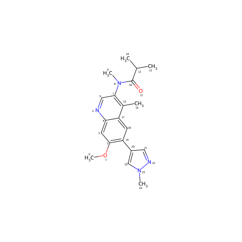 COc1cc2ncc(N(C)C(=O)C(C)C)c(C)c2cc1-c1cnn(C)c1